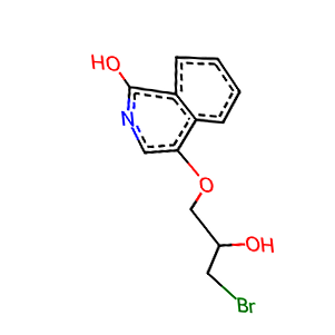 Oc1ncc(OCC(O)CBr)c2ccccc12